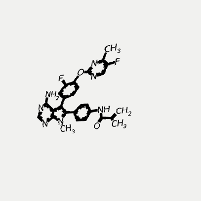 C=C(C)C(=O)Nc1ccc(-c2c(-c3ccc(Oc4ncc(F)c(C)n4)c(F)c3)c3c(N)ncnc3n2C)cc1